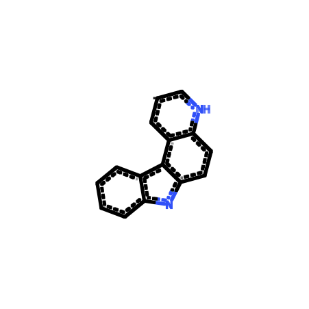 [c]1c[nH]c2ccc3nc4ccccc4c3c2c1